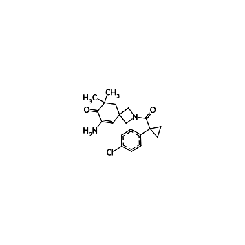 CC1(C)CC2(C=C(N)C1=O)CN(C(=O)C1(c3ccc(Cl)cc3)CC1)C2